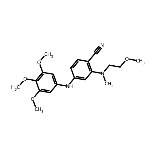 COCCN(C)c1cc(Nc2cc(OC)c(OC)c(OC)c2)ccc1C#N